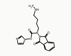 O=C(On1ccnc1)N(CCCCNP)N1C(=O)c2ccccc2C1=O